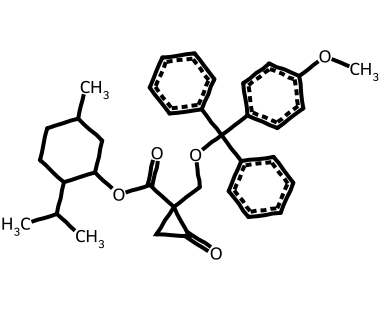 COc1ccc(C(OCC2(C(=O)OC3CC(C)CCC3C(C)C)CC2=O)(c2ccccc2)c2ccccc2)cc1